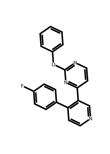 Fc1ccc(-c2ccncc2-c2ccnc(Oc3ccccc3)n2)cc1